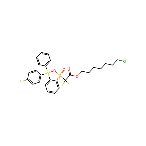 O=C(OCCCCCCCCl)C(F)(F)S(=O)(=O)OS(c1ccccc1)(c1ccccc1)c1ccc(F)cc1